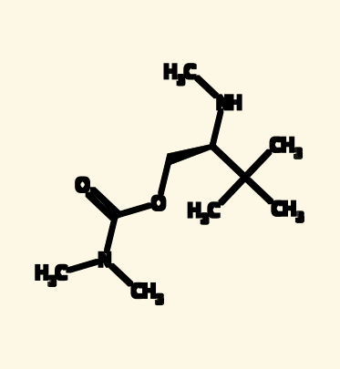 CN[C@H](COC(=O)N(C)C)C(C)(C)C